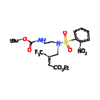 CCOC(=O)/C=C(\CN(CCNC(=O)OC(C)(C)C)S(=O)(=O)c1ccccc1[N+](=O)[O-])C(F)(F)F